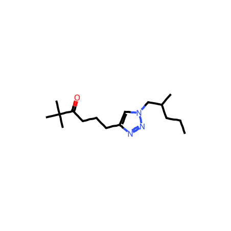 CCCC(C)Cn1cc(CCCC(=O)C(C)(C)C)nn1